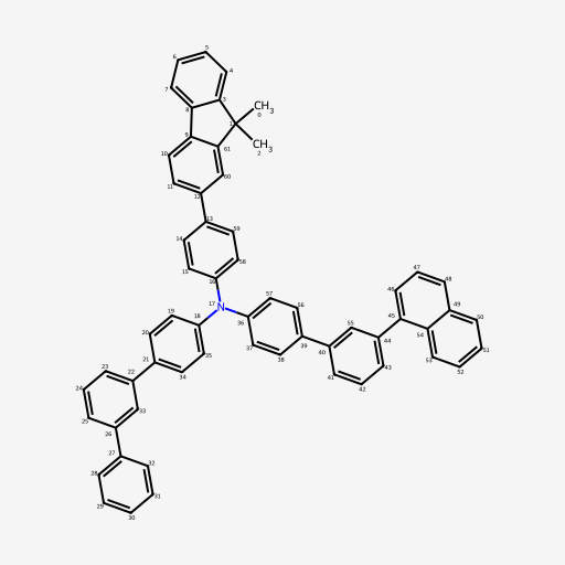 CC1(C)c2ccccc2-c2ccc(-c3ccc(N(c4ccc(-c5cccc(-c6ccccc6)c5)cc4)c4ccc(-c5cccc(-c6cccc7ccccc67)c5)cc4)cc3)cc21